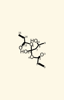 C=CC(=O)OC(O)(CC(C)O)OC(=O)C=C